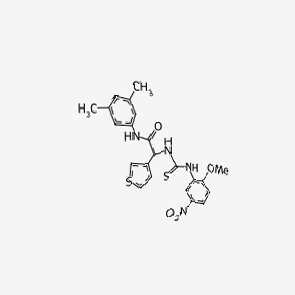 COc1ccc([N+](=O)[O-])cc1NC(=S)NC(C(=O)Nc1cc(C)cc(C)c1)c1ccsc1